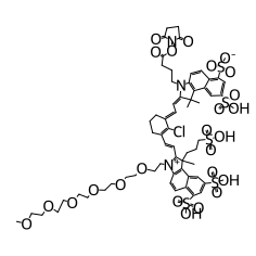 COCCOCCOCCOCCOCCOCC[N+]1=C(/C=C/C2=C(Cl)C(=C/C=C3/N(CCCC(=O)ON4C(=O)CCC4=O)c4ccc5c(S(=O)(=O)[O-])cc(S(=O)(=O)O)cc5c4C3(C)C)/CCC2)C(C)(CCCS(=O)(=O)O)c2c1ccc1c(S(=O)(=O)O)cc(S(=O)(=O)O)cc21